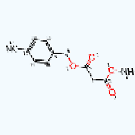 CC(=O)NOC(=O)CC(=O)OCc1ccc(C#N)cc1